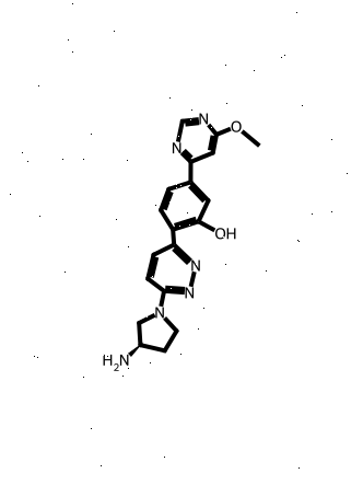 COc1cc(-c2ccc(-c3ccc(N4CC[C@@H](N)C4)nn3)c(O)c2)ncn1